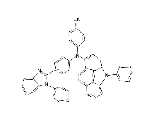 N#Cc1ccc(N(c2ccc(-c3nc4ccccc4n3-c3ccccc3)cc2)c2ccc3c4c2ccc2cccc(c24)n3-c2ccccc2)cc1